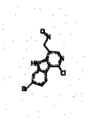 O=NCc1cnc(Cl)c2c1[nH]c1cc(Br)ccc12